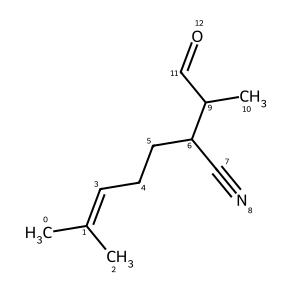 CC(C)=CCCC(C#N)C(C)C=O